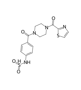 O=C(c1ccc(N[SH](=O)=O)cc1)N1CCN(C(=O)c2nccs2)CC1